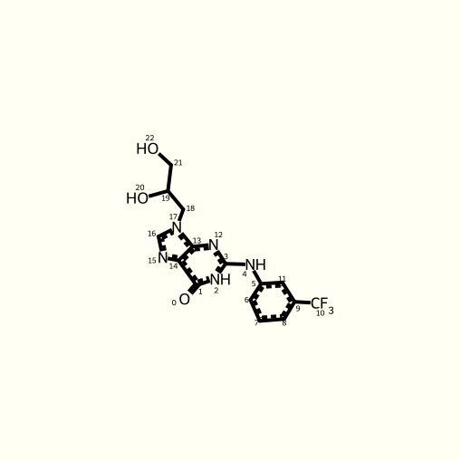 O=c1[nH]c(Nc2cccc(C(F)(F)F)c2)nc2c1ncn2CC(O)CO